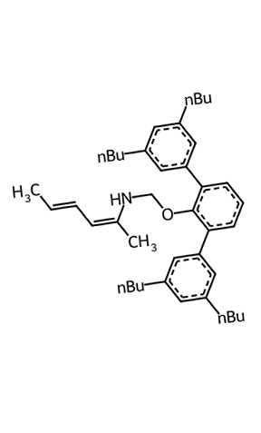 C/C=C/C=C(/C)NCOc1c(-c2cc(CCCC)cc(CCCC)c2)cccc1-c1cc(CCCC)cc(CCCC)c1